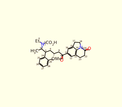 CCN(C(=O)O)C(C)C(CCCC(=O)c1cc2c3c(c1)CCN3C(=O)CC2)c1ccccc1OC